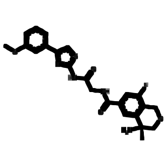 COc1cccc(-c2csc(NC(=O)CNC(=O)c3cc(F)c4c(c3)[C@@](C)(N)COC4)n2)c1